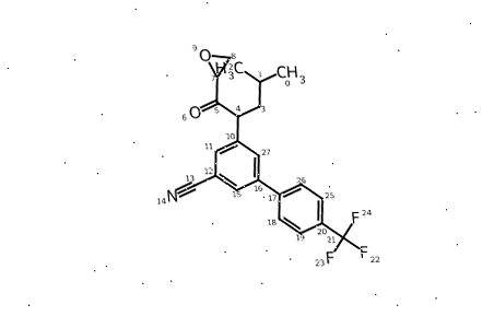 CC(C)CC(C(=O)C1CO1)c1cc(C#N)cc(-c2ccc(C(F)(F)F)cc2)c1